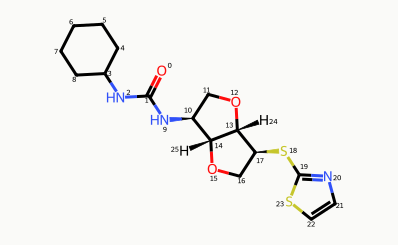 O=C(NC1CCCCC1)N[C@H]1CO[C@H]2[C@@H]1OC[C@@H]2Sc1nccs1